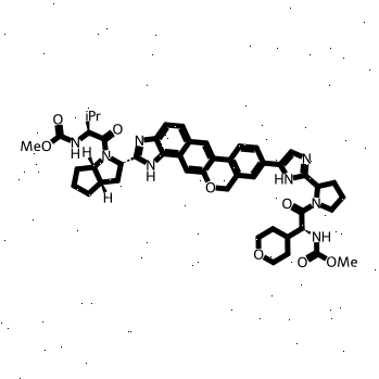 COC(=O)N[C@H](C(=O)N1[C@H](c2nc3ccc4cc5c(cc4c3[nH]2)OCc2cc(-c3cnc(C4CCCN4C(=O)[C@H](NC(=O)OC)C4CCOCC4)[nH]3)ccc2-5)C[C@@H]2CCC[C@@H]21)C(C)C